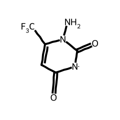 NN1C(=O)[N]C(=O)C=C1C(F)(F)F